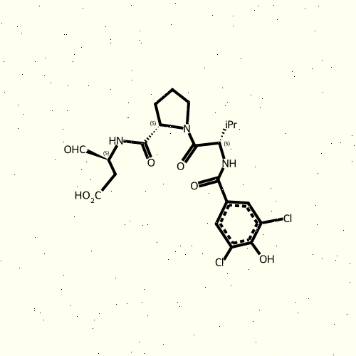 CC(C)[C@H](NC(=O)c1cc(Cl)c(O)c(Cl)c1)C(=O)N1CCC[C@H]1C(=O)N[C@H](C=O)CC(=O)O